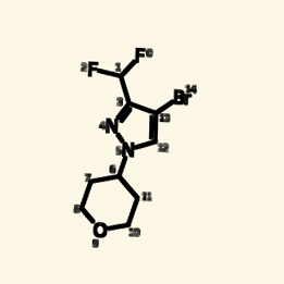 FC(F)c1nn(C2CCOCC2)cc1Br